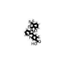 O=C(O)c1cc(F)c(-c2nn(C(=O)c3c(Cl)cccc3C(F)(F)F)c3cccnc23)cc1F